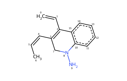 C=CC1=C(/C=C\C)CN(N)c2ccccc21